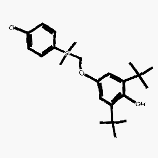 CC(C)(C)c1cc(OC[Si](C)(C)c2ccc(Cl)cc2)cc(C(C)(C)C)c1O